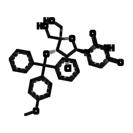 COc1ccc(C(O[C@H]2[C@@H](Cl)[C@H](n3ccc(=O)[nH]c3=O)OC2(CO)CO)(c2ccccc2)c2ccccc2)cc1